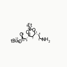 CCB1O[C@H](CCN)C[C@H](CC(=O)OC(C)(C)C)O1